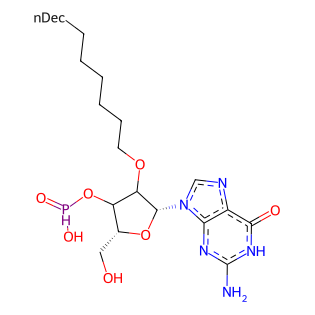 CCCCCCCCCCCCCCCCOC1C(O[PH](=O)O)[C@@H](CO)O[C@H]1n1cnc2c(=O)[nH]c(N)nc21